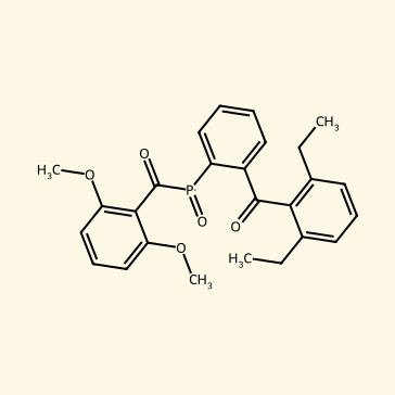 CCc1cccc(CC)c1C(=O)c1ccccc1[P](=O)C(=O)c1c(OC)cccc1OC